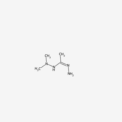 C/C(=N/N)NN(C)C